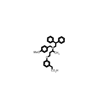 COc1ccc(CN(CC(c2ccccc2)c2ccccc2)C(C)CCOc2cccc(CC(=O)O)c2)cc1